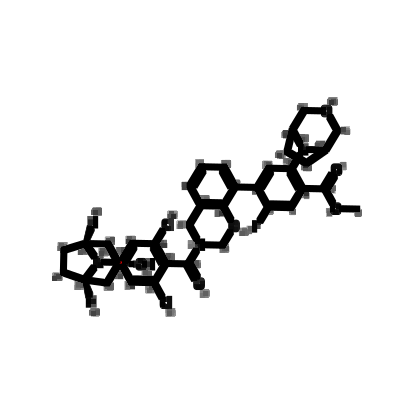 COC(=O)c1cc(F)c(-c2cccc3c2OCN(C(=O)c2c(Cl)cc(N4[C@@H]5CC[C@H]4C[C@@H](O)C5)cc2Cl)C3)cc1N1C2CCC1COC2